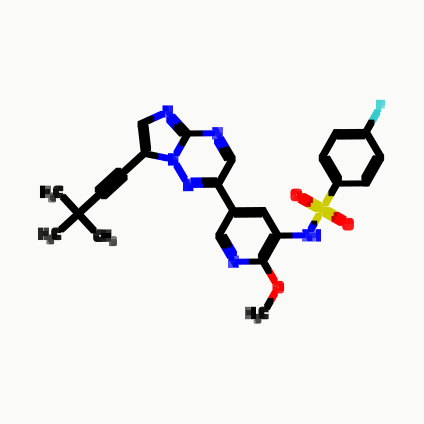 COc1ncc(-c2cnc3ncc(C#CC(C)(C)C)n3n2)cc1NS(=O)(=O)c1ccc(F)cc1